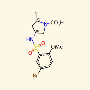 COc1ccc(Br)cc1S(=O)(=O)N[C@@H]1C[C@H](C)N(C(=O)O)C1